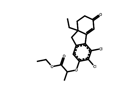 CCOC(=O)C(C)Oc1cc2c(c(Cl)c1Cl)C1=CC(=O)CCC1(CC)C2